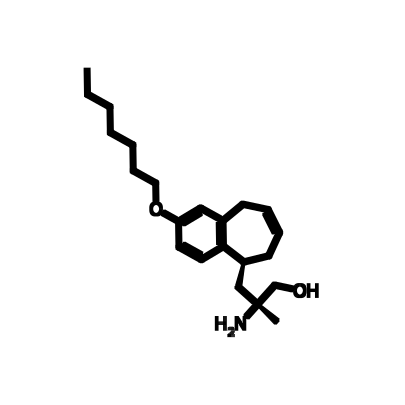 CCCCCCCOc1ccc2c(c1)CC=CC[C@H]2C[C@@](C)(N)CO